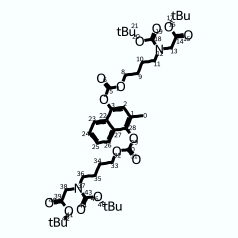 Cc1cc(OC(=O)OCCCCN(CC(=O)OC(C)(C)C)C(=O)OC(C)(C)C)c2ccccc2c1OC(=O)OCCCCN(CC(=O)OC(C)(C)C)C(=O)OC(C)(C)C